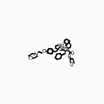 O=C(O[C@H]1CCOC1)N(C1CCc2ccccc2S1)[C@@H](CC1CCCCC1)[C@@H](O)C[C@]1(Cc2ccc(OCCN3CCOCC3)cc2)CCNC1=O